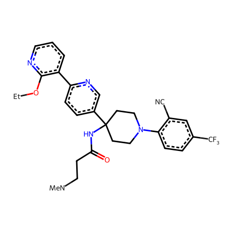 CCOc1ncccc1-c1ccc(C2(NC(=O)CCNC)CCN(c3ccc(C(F)(F)F)cc3C#N)CC2)cn1